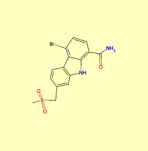 CS(=O)(=O)Cc1ccc2c(c1)[nH]c1c(C(N)=O)ccc(Br)c12